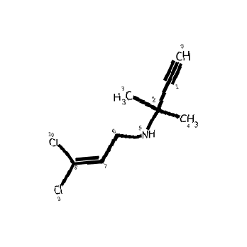 C#CC(C)(C)NCC=C(Cl)Cl